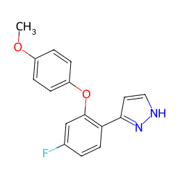 COc1ccc(Oc2cc(F)ccc2-c2cc[nH]n2)cc1